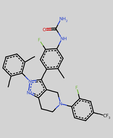 Cc1cc(NC(N)=O)c(F)cc1-c1c2c(nn1-c1c(C)cccc1C)CCN(c1ccc(C(F)(F)F)cc1F)C2